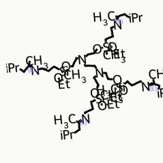 CCO[Si](C)(CCC/N=C(\C)CC(C)C)OCCN(CCO[Si](C)(CCC/N=C(\C)CC(C)C)OCC)CCN(CCO[Si](C)(CCC/N=C(\C)CC(C)C)OCC)CCO[Si](C)(CCC/N=C(\C)CC(C)C)OCC